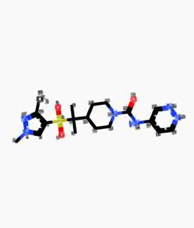 Cn1cc(S(=O)(=O)C(C)(C)C2CCN(C(=O)Nc3ccnnc3)CC2)c(C(F)(F)F)n1